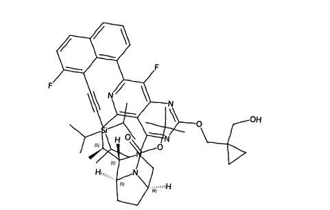 CC(C)[Si](C#Cc1c(F)ccc2cccc(-c3nc4c5c(nc(OCC6(CO)CC6)nc5c3F)N3C[C@H]5CC[C@@H]([C@@H]3[C@@H](C)C4)N5C(=O)OC(C)(C)C)c12)(C(C)C)C(C)C